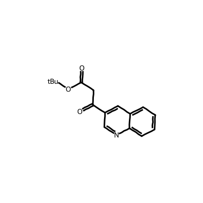 CC(C)(C)OC(=O)CC(=O)c1cnc2ccccc2c1